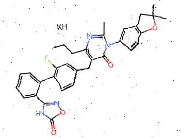 CCCc1nc(C)n(-c2ccc3c(c2)CC(C)(C)O3)c(=O)c1Cc1ccc(-c2ccccc2-c2noc(=O)[nH]2)c(F)c1.[KH]